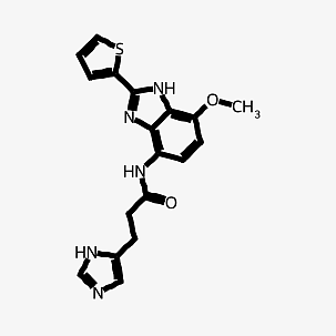 COc1ccc(NC(=O)CCc2cnc[nH]2)c2nc(-c3cccs3)[nH]c12